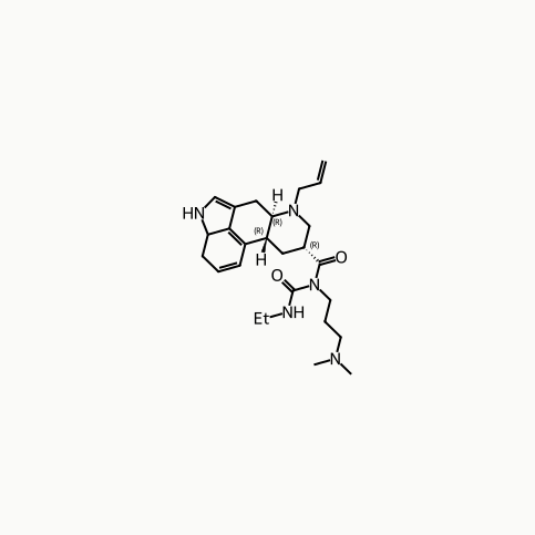 C=CCN1C[C@H](C(=O)N(CCCN(C)C)C(=O)NCC)C[C@@H]2C3=C4C(=CNC4CC=C3)C[C@H]21